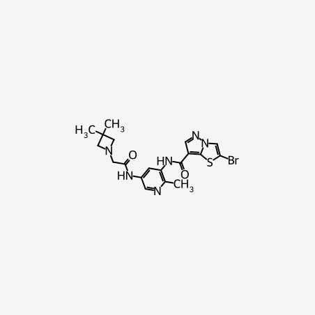 Cc1ncc(NC(=O)CN2CC(C)(C)C2)cc1NC(=O)c1cnn2cc(Br)sc12